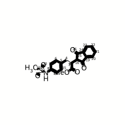 COC(=O)[C@H](Cc1ccc(NS(C)(=O)=O)cc1)C1C(=O)c2ccccc2C1=O